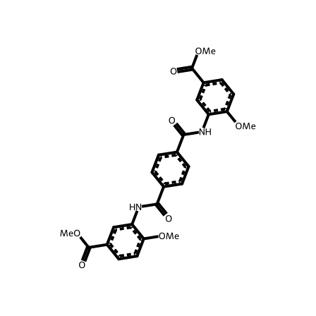 COC(=O)c1ccc(OC)c(NC(=O)c2ccc(C(=O)Nc3cc(C(=O)OC)ccc3OC)cc2)c1